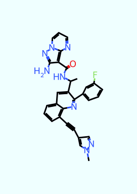 CC(NC(=O)c1c(N)nn2cccnc12)c1cc2cccc(C#Cc3cnn(C)c3)c2nc1-c1cccc(F)c1